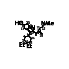 CCC1(CC)CCC(c2c(CN(C)CCNC)nn3c2CC(O)C3)CC1